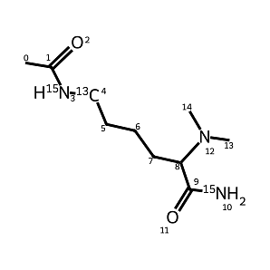 CC(=O)[15NH][13CH2]CCCC(C([15NH2])=O)N(C)C